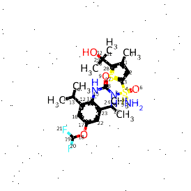 Cc1cc([SH](N)(=O)NC(=O)Nc2c(C(C)C)cc(OC(F)F)cc2C(C)C)sc1C(C)(C)O